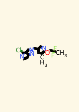 Cc1cc(Cn2cc3c(Cl)nccc3n2)cnc1OCC(C)(F)F